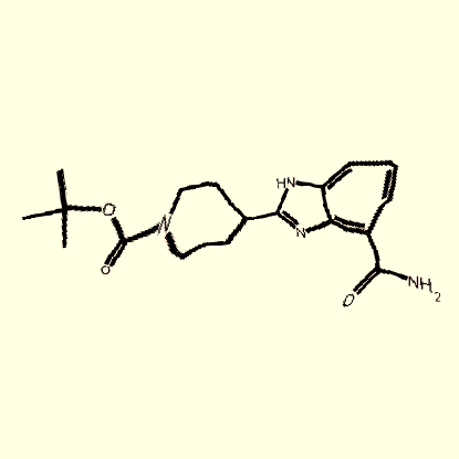 CC(C)(C)OC(=O)N1CCC(c2nc3c(C(N)=O)cccc3[nH]2)CC1